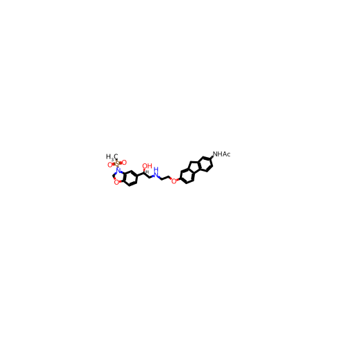 CC(=O)Nc1ccc2c(c1)Cc1cc(OCCNC[C@H](O)c3ccc4c(c3)N(S(C)(=O)=O)CO4)ccc1-2